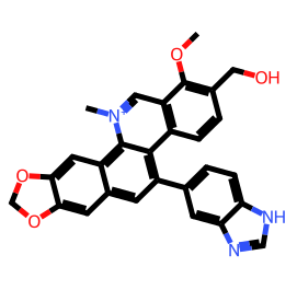 COc1c(CO)ccc2c1c[n+](C)c1c3cc4c(cc3cc(-c3ccc5[nH]cnc5c3)c21)OCO4